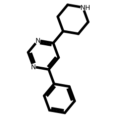 c1ccc(-c2cc(C3CCNCC3)ncn2)cc1